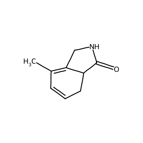 CC1=C2CNC(=O)C2CC=C1